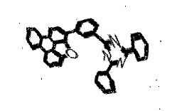 c1ccc(-c2nc(-c3ccccc3)nc(-c3cccc(-c4ccc5c6ccccc6c6cccc7oc4c5c76)c3)n2)cc1